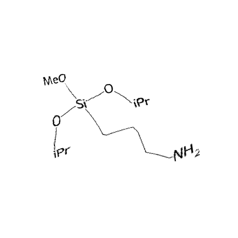 CO[Si](CCCN)(OC(C)C)OC(C)C